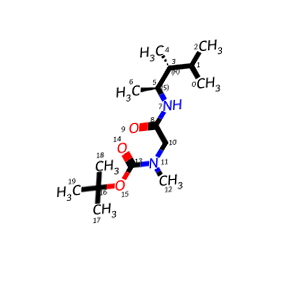 CC(C)[C@@H](C)[C@H](C)NC(=O)CN(C)C(=O)OC(C)(C)C